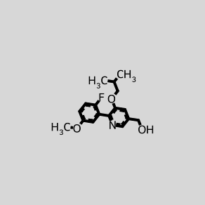 COc1ccc(F)c(-c2ncc(CO)cc2OCC(C)C)c1